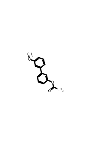 COc1cc[c]c(-c2cccc(OC(C)=O)c2)c1